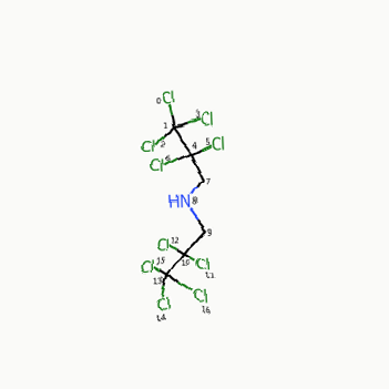 ClC(Cl)(Cl)C(Cl)(Cl)CNCC(Cl)(Cl)C(Cl)(Cl)Cl